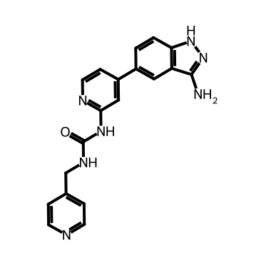 Nc1n[nH]c2ccc(-c3ccnc(NC(=O)NCc4ccncc4)c3)cc12